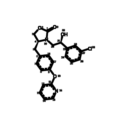 O=C1OC[C@H](Cc2ccc(Oc3ccccn3)cc2)N1C[C@@H](O)c1cccc(Cl)c1